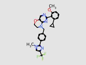 COc1cccc(C2CC2)c1-c1ncc2c(n1)N(Cc1ccc(-c3nc(C(F)(F)F)cn3C)cc1)CCO2